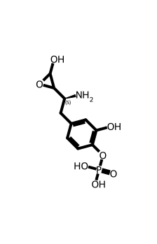 N[C@@H](Cc1ccc(OP(=O)(O)O)c(O)c1)C1OC1O